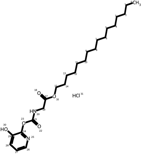 CCCCCCCCCCCCCCCCOC(=O)CNC(=O)Oc1ncccc1O.Cl